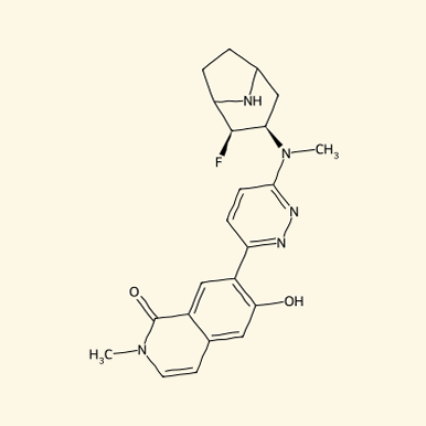 CN(c1ccc(-c2cc3c(=O)n(C)ccc3cc2O)nn1)[C@@H]1CC2CCC(N2)[C@@H]1F